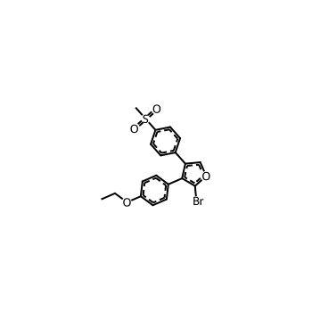 CCOc1ccc(-c2c(-c3ccc(S(C)(=O)=O)cc3)coc2Br)cc1